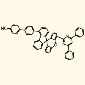 N#Cc1ccc(-c2ccc(-c3cccc4c3-c3ccccc3C43c4ccccc4Oc4c(-c5nc(-c6ccccc6)cc(-c6ccccc6)n5)cccc43)cc2)cc1